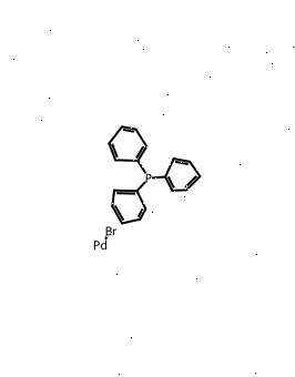 [Br][Pd].c1ccc(P(c2ccccc2)c2ccccc2)cc1